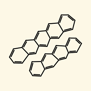 c1ccc2cc3cc4cc5ccccc5cc4cc3cc2c1.c1ccc2cc3cc4ccccc4cc3cc2c1